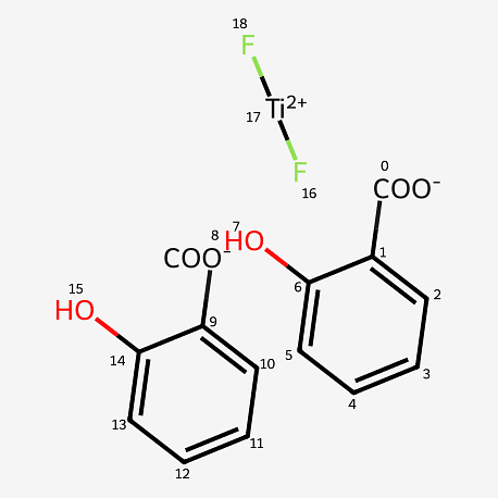 O=C([O-])c1ccccc1O.O=C([O-])c1ccccc1O.[F][Ti+2][F]